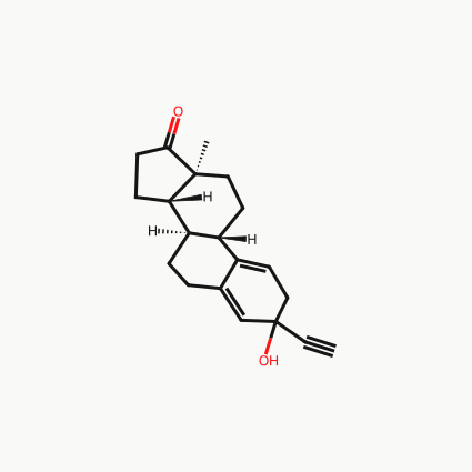 C#CC1(O)C=C2CC[C@@H]3[C@H](CC[C@]4(C)C(=O)CC[C@@H]34)C2=CC1